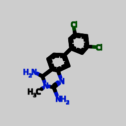 CN1C(N)=Nc2cc(-c3cc(Cl)cc(Cl)c3)ccc2C1N